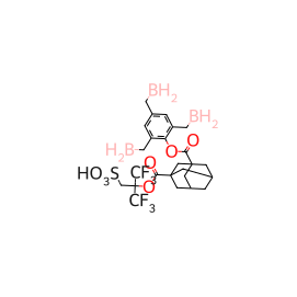 BCc1cc(CB)c(OC(=O)C23CC4CC(C2)CC(C(=O)OC(CS(=O)(=O)O)(C(F)(F)F)C(F)(F)F)(C4)C3)c(CB)c1